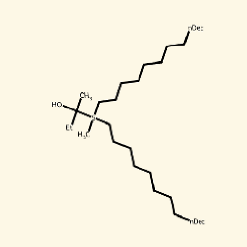 CCCCCCCCCCCCCCCCCCS(C)(CCCCCCCCCCCCCCCCCC)C(C)(O)CC